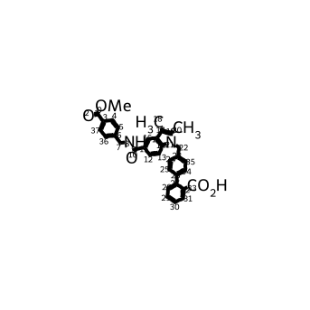 COC(=O)c1ccc(CNC(=O)c2ccc3c(c2)c(C)c(C)n3Cc2ccc(-c3ccccc3C(=O)O)cc2)cc1